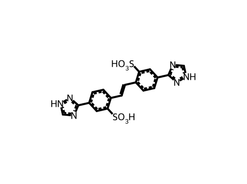 O=S(=O)(O)c1cc(-c2nc[nH]n2)ccc1C=Cc1ccc(-c2nc[nH]n2)cc1S(=O)(=O)O